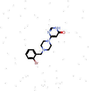 O=c1cc(N2CCN(Cc3ccccc3Br)CC2)nc[nH]1